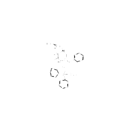 CCC[CH2][Sn]1([CH2]CCC)[O][C@H]2[C@H](O)[C@@H](CO[Si](c3ccccc3)(c3ccccc3)C(C)(C)C)N(Cc3ccccc3)C[C@@H]2[O]1